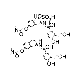 CN(C)C(=O)COc1ccc2c(c1)C[C@@H](NC[C@H](O)c1ccc(O)c(CCO)c1)CC2.CN(C)C(=O)COc1ccc2c(c1)C[C@@H](NC[C@H](O)c1ccc(O)c(CCO)c1)CC2.O=S(=O)(O)O